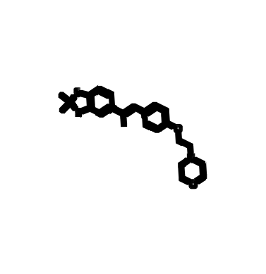 C/C(=C\c1ccc(OCCN2CCOCC2)cc1)c1ccc2c(c1)SC(C)(C)S2